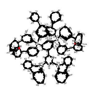 c1ccc(-c2cccc([Si](c3cccc(-c4ccccc4)c3)(c3cccc(-c4ccccc4)c3)c3cc(-c4cc(-n5c6ccccc6c6ccccc65)nc(-n5c6ccccc6c6ccccc65)n4)cc([Si](c4cccc(-c5ccccc5)c4)(c4cccc(-c5ccccc5)c4)c4cccc(-c5ccccc5)c4)c3)c2)cc1